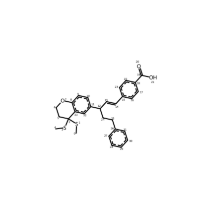 CSC1(SC)CCOc2ccc(C(C=Cc3ccc(C(=O)O)cc3)CCc3ccccc3)cc21